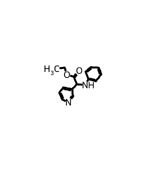 CCOC(=O)C(Nc1ccccc1)c1cccnc1